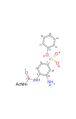 CC(=O)NC(=O)Nc1ccc(S(=O)(=O)Oc2ccccc2)cc1N